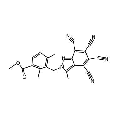 COC(=O)c1ccc(C)c(Cn2nc3c(C#N)c(C#N)c(C#N)c(C#N)c3c2C)c1C